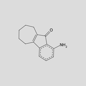 Nc1cccc2c1C(=O)C1=C2CCCCC1